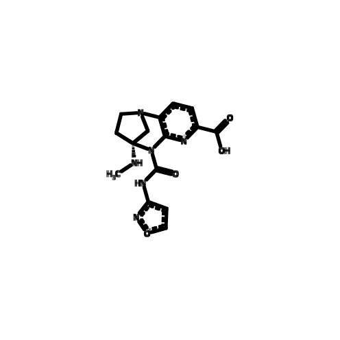 CN[C@]12CCN(C1)c1ccc(C(=O)O)nc1N2C(=O)Nc1ccon1